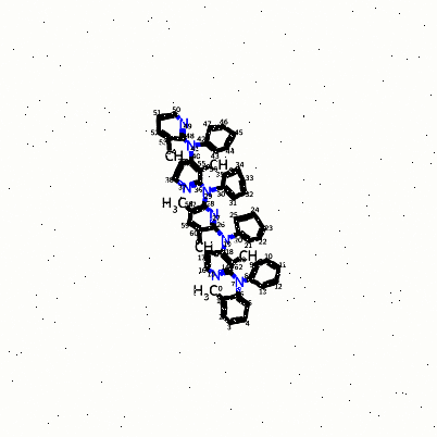 Cc1ccccc1N(c1ccccc1)c1nccc(N(c2ccccc2)c2nc(N(c3ccccc3)c3nccc(N(c4ccccc4)c4ncccc4C)c3C)c(C)cc2C)c1C